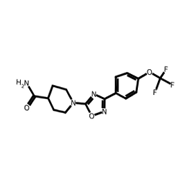 NC(=O)C1CCN(c2nc(-c3ccc(OC(F)(F)F)cc3)no2)CC1